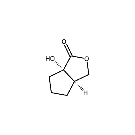 O=C1OC[C@H]2CCC[C@@]12O